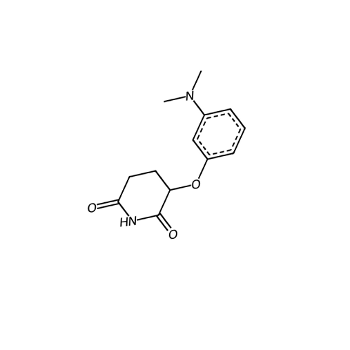 CN(C)c1cccc(OC2CCC(=O)NC2=O)c1